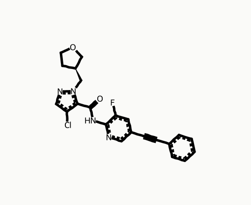 O=C(Nc1ncc(C#Cc2ccccc2)cc1F)c1c(Cl)cnn1C[C@H]1CCOC1